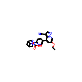 CCOc1cc(-c2ccc(N3CC4CC(C3)C4NC(=O)O)nc2)c2c(C#N)cnn2c1